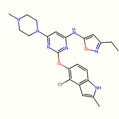 CCc1cc(Nc2cc(N3CCN(C)CC3)nc(Oc3ccc4[nH]c(C)cc4c3Cl)n2)on1